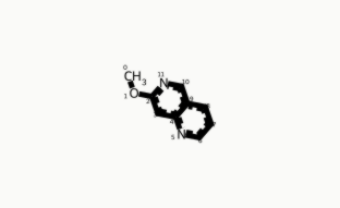 COc1cc2ncc[c]c2cn1